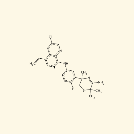 C=Cc1cnc(Nc2ccc(F)c(C3(C)CSC(C)(C)C(N)=N3)c2)c2ncc(Cl)cc12